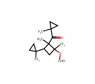 CC1(C(=O)C2(C(F)(F)F)CC2)C(C2(C(F)(F)F)CC2)CC1(O[C]=O)C(F)(F)F